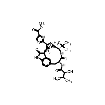 COC(=O)c1coc(-c2nc3oc2[C@@]2(C)C(=O)Nc4ccc(cc42)C[C@H](NC(=O)[C@@H](O)C(C)C)C(=O)N[C@H]3C(C)(C)C)n1